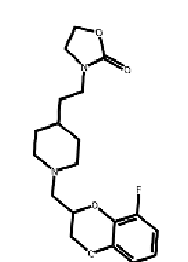 O=C1OCCN1CCC1CCN(CC2COc3cccc(F)c3O2)CC1